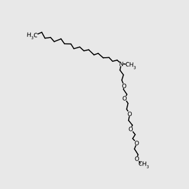 CCCCCCCCCCCCCCCCCCN(C)CCCOCCOCCOCCOCCOCCOC